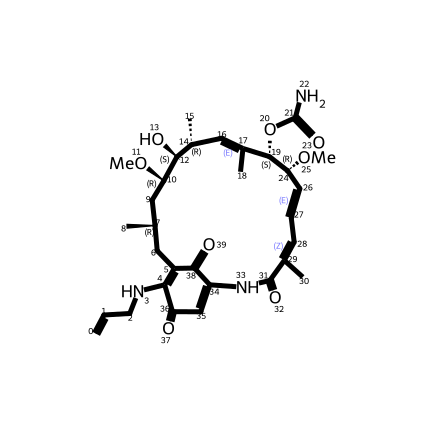 C=CCNC1=C2C[C@@H](C)C[C@@H](OC)[C@@H](O)[C@H](C)/C=C(\C)[C@H](OC(N)=O)[C@H](OC)/C=C/C=C(/C)C(=O)NC(=CC1=O)C2=O